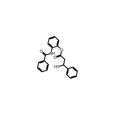 O=C(CC(S)c1ccccc1)Oc1ccccc1NC(=O)c1ccccc1